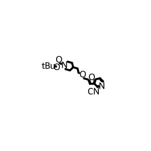 CC(C)(C)OC(=O)N1CCC(CCOCc2cc3c(C#N)nccc3o2)CC1